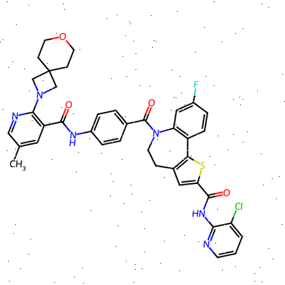 Cc1cnc(N2CC3(CCOCC3)C2)c(C(=O)Nc2ccc(C(=O)N3CCc4cc(C(=O)Nc5ncccc5Cl)sc4-c4ccc(F)cc43)cc2)c1